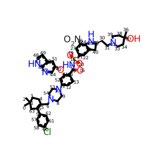 CC1(C)CCC(CN2CCN(c3ccc(C(=O)NS(=O)(=O)c4cc5c(c([N+](=O)[O-])c4)N[C@@H](CCN4CCC(C)(O)CC4)C5)c(Oc4cnc5[nH]ccc5c4)c3)CC2)=C(c2ccc(Cl)cc2)C1